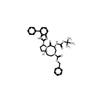 CC(C)(C)OC(=O)N[C@H]1CN(C(=O)OCc2ccccc2)CC[C@H]2CC[C@@H](c3nc4cccc(-c5ccccc5)c4[nH]3)N2C1=O